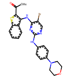 COC(=O)c1sc2ccccc2c1Nc1nc(Nc2ccc(N3CCOCC3)cc2)ncc1Br